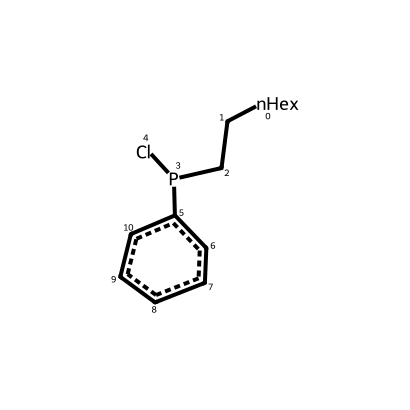 CCCCCCCCP(Cl)c1ccccc1